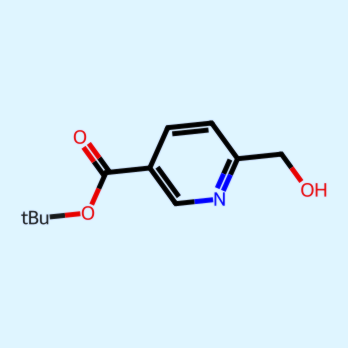 CC(C)(C)OC(=O)c1ccc(CO)nc1